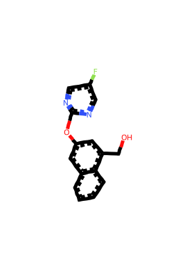 OCc1cc(Oc2ncc(F)cn2)cc2ccccc12